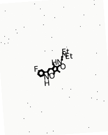 C=C1C(C)=C(C(=O)NCCN(CC)CC)C(C)=C1/C=C1\C(=O)Nc2ccc(F)cc21